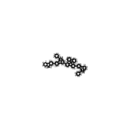 CC1(C)c2ccccc2-c2ccc(-c3ccc4c(c3)c3c(-c5ccccc5)nc5cc(-c6ccc7c(c6)C(c6ccccc6)(c6ccccc6)c6cc(-c8ccc9c(c8)c8c(-c%10ccccc%10)nc%10cccc9n%108)ccc6-7)cc4n53)cc21